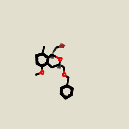 COc1ccc(C)c2c1C[C@@H](COCc1ccccc1)O[C@H]2CBr